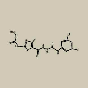 Cc1nc(NC(=O)OC(C)(C)C)sc1C(=O)NNC(=S)Nc1cc(Cl)cc(Cl)c1